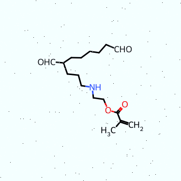 C=C(C)C(=O)OCCNCCCC(C=O)CCCCCC=O